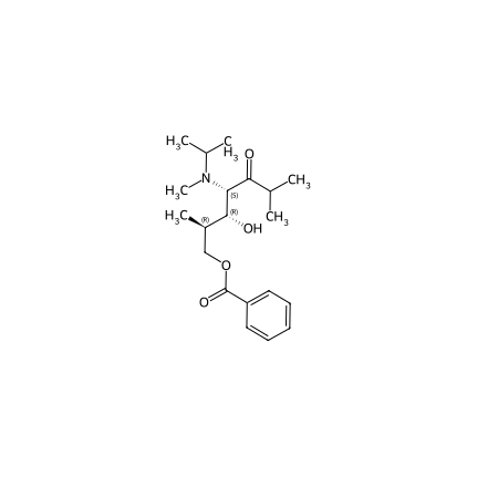 CC(C)C(=O)[C@H]([C@H](O)[C@H](C)COC(=O)c1ccccc1)N(C)C(C)C